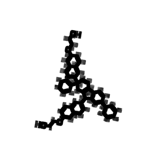 OCCOc1ccc2cc(C3C4=C(C=CC(c5ccccc5)(c5ccc6cc(OCCO)ccc6c5)C4)c4ccc(-c5ccccc5)cc43)ccc2c1